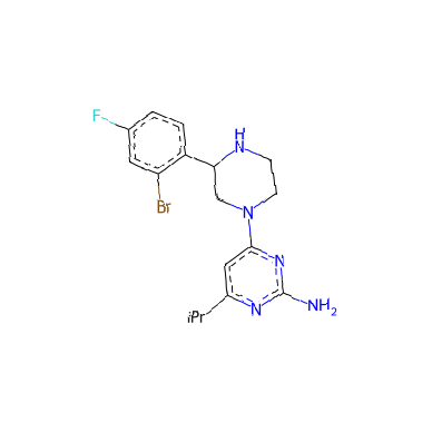 CC(C)c1cc(N2CCNC(c3ccc(F)cc3Br)C2)nc(N)n1